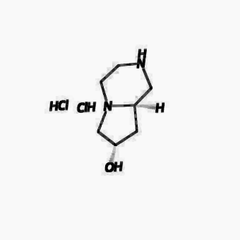 Cl.Cl.O[C@H]1C[C@@H]2CNCCN2C1